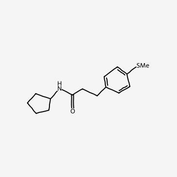 CSc1ccc(CCC(=O)NC2CCCC2)cc1